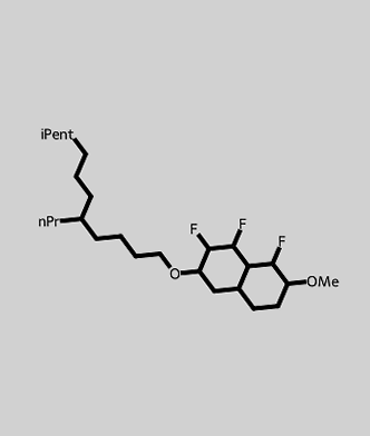 CCCC(C)CCCC(CCC)CCCCOC1CC2CCC(OC)C(F)C2C(F)C1F